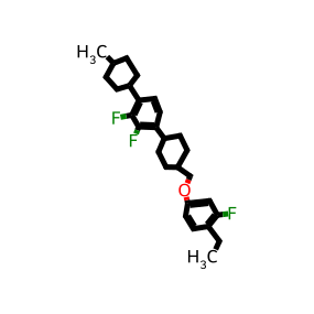 CCc1ccc(OCC2CCC(c3ccc(C4CCC(C)CC4)c(F)c3F)CC2)cc1F